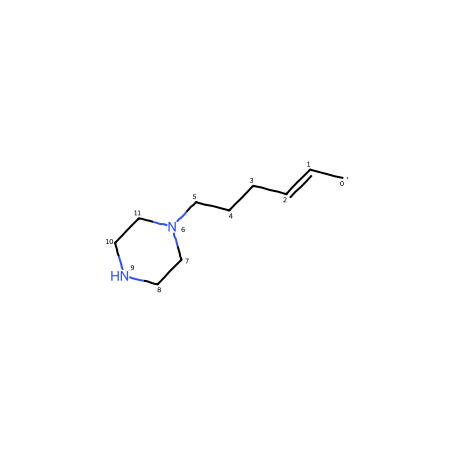 [CH2]C=CCCCN1CCNCC1